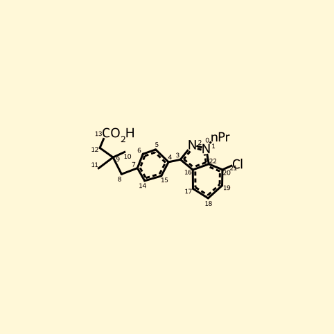 CCCn1nc(-c2ccc(CC(C)(C)CC(=O)O)cc2)c2cccc(Cl)c21